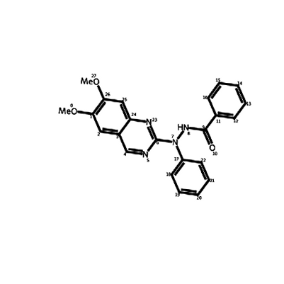 COc1cc2cnc(N(NC(=O)c3ccccc3)c3ccccc3)nc2cc1OC